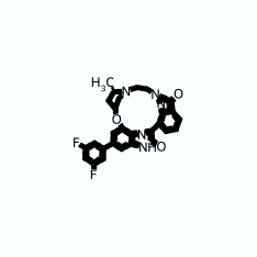 C[C@@H]1CC2CN1CCn1[nH]c3c(cccc3c1=O)-c1nc3c(cc(-c4cc(F)cc(F)c4)cc3[nH]c1=O)O2